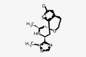 C[C@H]1C[C@@]2(C[C@@H](c3ncnn3C)N1)OCCc1cc(Cl)sc12